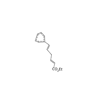 CCOC(=O)/C=C/C/C=C/c1ccccc1